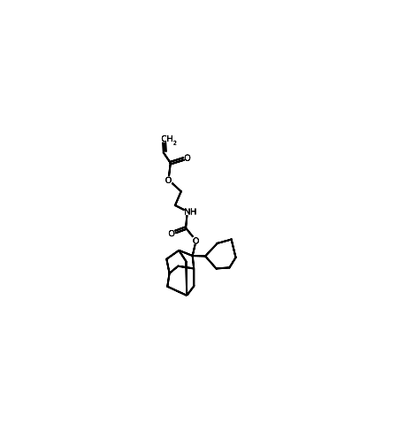 C=CC(=O)OCCNC(=O)OC1(C2CCCCC2)C2CC3CC(C2)CC1C3